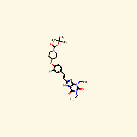 CCn1c(=O)c2[nH]c(C=Cc3ccc(OC4CCN(C(=O)OC(C)(C)C)CC4)c(F)c3)nc2n(CC)c1=O